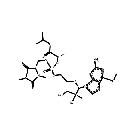 COc1nc(N)nc2c1ncn2[C@H](OCCO[P@@](=O)(N[C@@H](C)C(=O)OC(C)C)SC[C@@H]1C(=O)N(C)C(=O)N1C)[C@](C)(O)CO